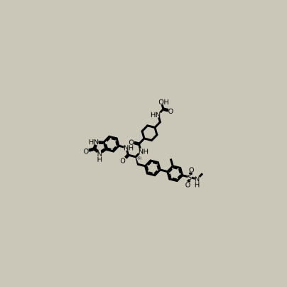 CNS(=O)(=O)c1ccc(-c2ccc(C[C@H](NC(=O)C3CCC(CNC(=O)O)CC3)C(=O)Nc3ccc4[nH]c(=O)[nH]c4c3)cc2)c(C)c1